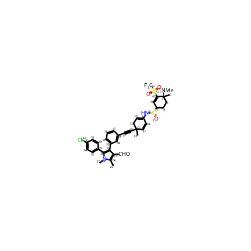 CN[C@@]1(C)CCC([S+]([O-])NC2=CCC(C)(C#Cc3cccc(-c4c(C=O)c(C)n(C)c4-c4ccc(Cl)cc4)c3)C=C2)C=C1S(=O)(=O)C(F)(F)F